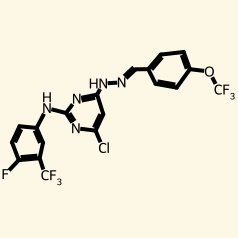 Fc1ccc(Nc2nc(Cl)cc(N/N=C/c3ccc(OC(F)(F)F)cc3)n2)cc1C(F)(F)F